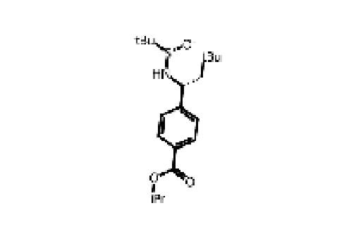 CC(C)OC(=O)c1ccc([C@@H](CC(C)(C)C)N[S+]([O-])C(C)(C)C)cc1